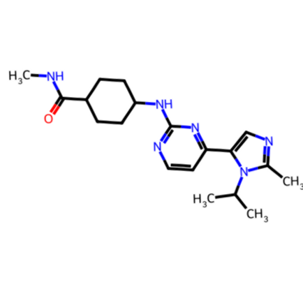 CNC(=O)C1CCC(Nc2nccc(-c3cnc(C)n3C(C)C)n2)CC1